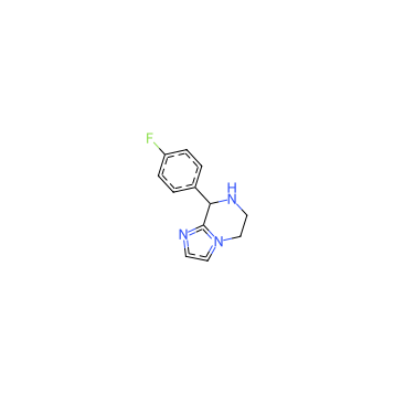 Fc1ccc(C2NCCn3ccnc32)cc1